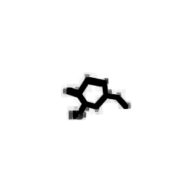 C=C1C=CC(CC)CC1O